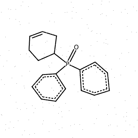 O=P(c1ccccc1)(c1ccccc1)C1CC=CCC1